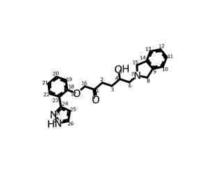 O=C(CCC(O)CN1Cc2ccccc2C1)COc1ccccc1-c1cc[nH]n1